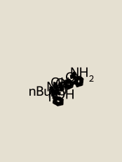 CCCCc1nc(O)c(S(=O)(=O)c2ccc(-c3ccccc3C(N)=O)cc2)c(O)c1N(C)c1ccccc1